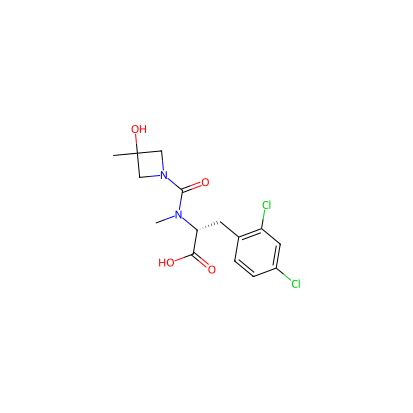 CN(C(=O)N1CC(C)(O)C1)[C@H](Cc1ccc(Cl)cc1Cl)C(=O)O